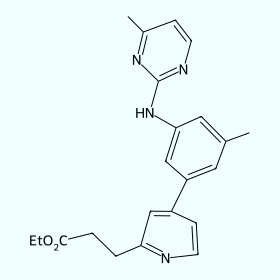 CCOC(=O)CCc1cc(-c2cc(C)cc(Nc3nccc(C)n3)c2)ccn1